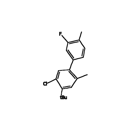 Cc1ccc(-c2cc(Cl)c(C(C)(C)C)cc2C)cc1F